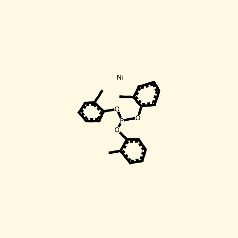 Cc1ccccc1OP(Oc1ccccc1C)Oc1ccccc1C.[Ni]